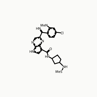 CNc1cc(Cl)ccc1C(=N)c1cnc2[nH]cc(C(=O)NC3CCC(NSC)C3)c2n1